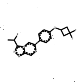 CC(F)c1nnc2cnc(-c3ccc(OC4CC(F)(F)C4)cc3)cn12